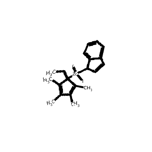 CC[C]1([Zr]([I])([I])[CH]2C=Cc3ccccc32)C(C)=C(C)C(C)=C1C